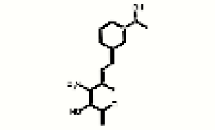 C=C(Cl)\C(O)=C(/C(F)=C/C=C1\CCCN(B(C)O)C1)[N+](=O)[O-]